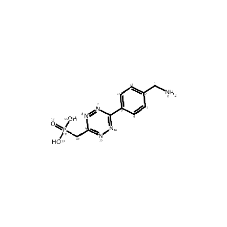 NCc1ccc(-c2nnc(CP(=O)(O)O)nn2)cc1